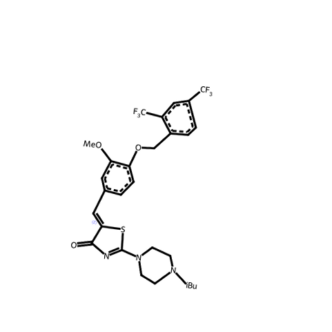 CCC(C)N1CCN(C2=NC(=O)/C(=C/c3ccc(OCc4ccc(C(F)(F)F)cc4C(F)(F)F)c(OC)c3)S2)CC1